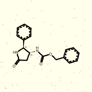 O=C1C[C@@H](NC(=O)OCc2ccccc2)[C@H](c2ccccc2)N1